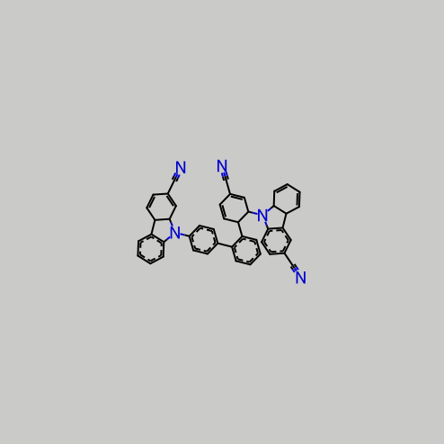 N#CC1=CC2C(C=C1)c1ccccc1N2c1ccc(-c2ccccc2C2C=CC(C#N)=CC2N2c3ccc(C#N)cc3C3C=CC=CC32)cc1